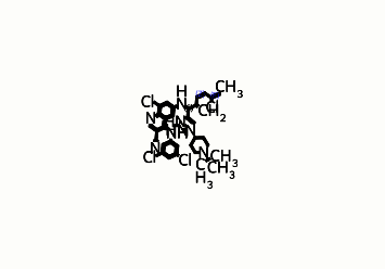 C=C(/C=C\C(Cl)=C/C)[C@H](Nc1cc(Cl)c2ncc(C#N)c(Nc3cc(Cl)cc(Cl)c3)c2c1)C1=CN(C2CCN(C(C)(C)C)CC2)NN1